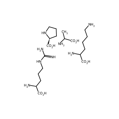 CC(N)C(=O)O.N=C(N)NCCCC(N)C(=O)O.NCCCCC(N)C(=O)O.O=C(O)[C@@H]1CCCN1